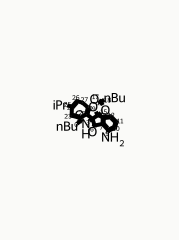 CCCCC(=O)NC12C(=O)c3c(N)cccc3C1(OC(=O)CCCC)OC1=C2C=CC(C(C)C)=CC1